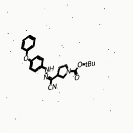 CC(C)(C)OC(=O)N1CCC(C(C#N)=NNc2ccc(Oc3ccccc3)cc2)C1